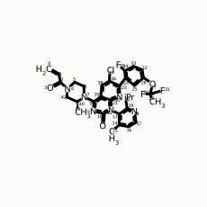 C=CC(=O)N1CCN(c2nc(=O)n(-c3c(C)ccnc3C(C)C)c3nc(-c4cc(OC(C)(F)F)ccc4F)c(Cl)cc23)[C@@H](C)C1